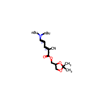 CCCCN(/C=C/C=C(\C#N)C(=O)OCC1COC(C)(C)O1)CCCC